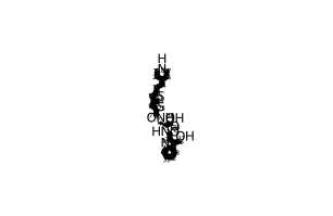 O=C(N[C@@H](CNC(=O)c1cc2cc(CCC3CCNCC3)sc2s1)C(=O)O)C1=Nc2ccccc2C1CO